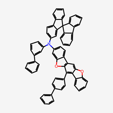 c1ccc(-c2ccc(-c3c4oc5cc(N(c6cccc(-c7ccccc7)c6)c6ccc7c(c6)C6(c8ccccc8-c8ccccc86)c6ccccc6-7)ccc5c4cc4oc5ccccc5c34)cc2)cc1